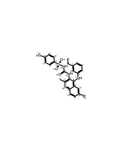 CCc1cccc(Nc2c(NC(=O)NS(=O)(=O)c3ccc(S)cc3)c(C)nc3ccc(Br)cc23)c1